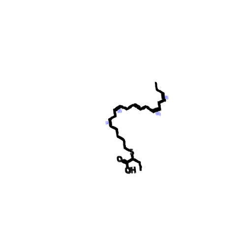 CC/C=C\C/C=C\CC=CC/C=C\C/C=C\CCCCSC(CC)C(=O)O